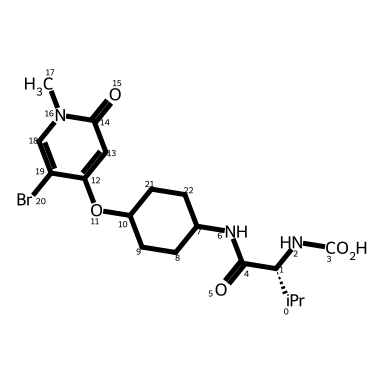 CC(C)[C@@H](NC(=O)O)C(=O)NC1CCC(Oc2cc(=O)n(C)cc2Br)CC1